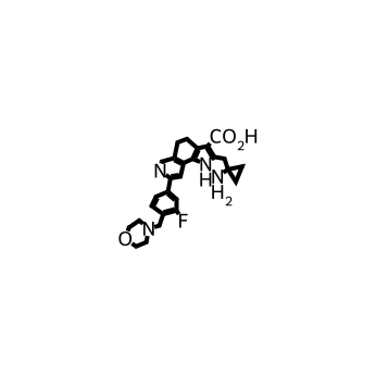 NC1(Cc2[nH]c3c(c2C(=O)O)CCc2cnc(-c4ccc(CN5CCOCC5)c(F)c4)cc2-3)CC1